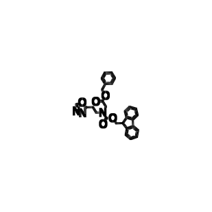 O=C(CN(CCc1nnco1)C(=O)OCC1c2ccccc2-c2ccccc21)OCc1ccccc1